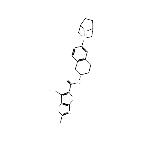 Cc1nc2sc(C(=O)N[C@@H]3CCc4cc(N5CC6CCC(C5)N6)ccc4C3)c(N)c2s1